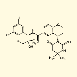 CC1(C)CC(=O)N([C@@H]2CCOc3ccc(C(=O)N[C@@H]4c5cc(Cl)cc(Cl)c5OC[C@@]4(C)O)cc32)C(=N)N1